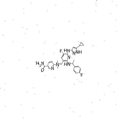 CC(Nc1nc(Nc2cc(C3CC3)[nH]n2)c(F)cc1C[N+](C)(C)c1ccc(C(N)=O)cn1)c1ccc(F)cc1